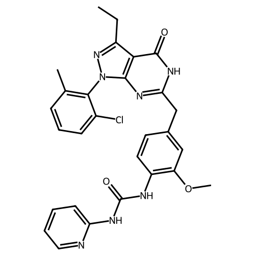 CCc1nn(-c2c(C)cccc2Cl)c2nc(Cc3ccc(NC(=O)Nc4ccccn4)c(OC)c3)[nH]c(=O)c12